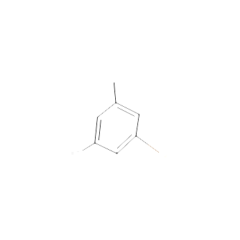 [CH2]c1cc(Br)cc(C(C)C)c1